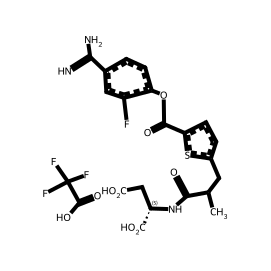 CC(Cc1ccc(C(=O)Oc2ccc(C(=N)N)cc2F)s1)C(=O)N[C@@H](CC(=O)O)C(=O)O.O=C(O)C(F)(F)F